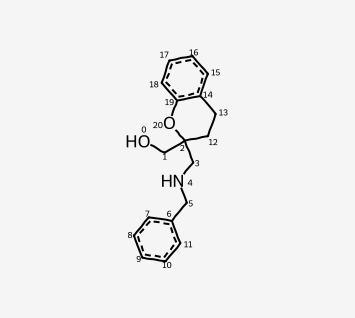 OCC1(CNCc2ccccc2)CCc2ccccc2O1